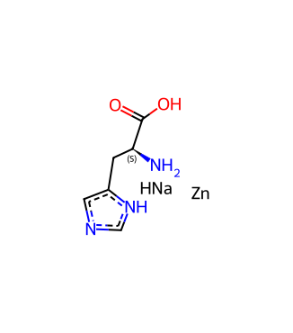 N[C@@H](Cc1cnc[nH]1)C(=O)O.[NaH].[Zn]